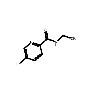 O=C(NCC(F)(F)F)c1ccc(Br)cn1